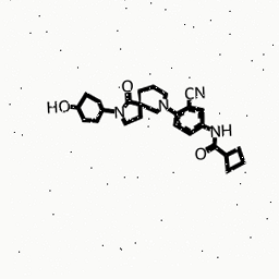 N#Cc1cc(NC(=O)C2CCC2)ccc1N1CCC[C@]2(CCN(C3CCC(O)CC3)C2=O)C1